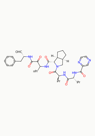 CCCC(NC(=O)[C@@H]1[C@H]2CCC[C@H]2CN1C(=O)[C@@H](NC(=O)[C@H](NC(=O)c1cnccn1)C(C)C)C(C)C)C(=O)C(=O)N[C@@H](C=O)Cc1ccccc1